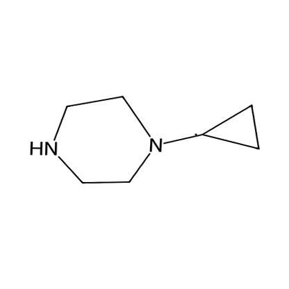 C1CN([C]2CC2)CCN1